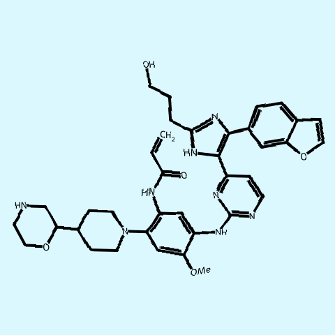 C=CC(=O)Nc1cc(Nc2nccc(-c3[nH]c(CCCO)nc3-c3ccc4ccoc4c3)n2)c(OC)cc1N1CCC(C2CNCCO2)CC1